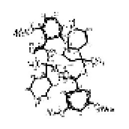 COc1cc(OC)cc(C(=O)OC(C)(CCOc2cccc(OC)c2C(=O)OC(C)(C)C2CCNCC2)C2CCNCC2)c1